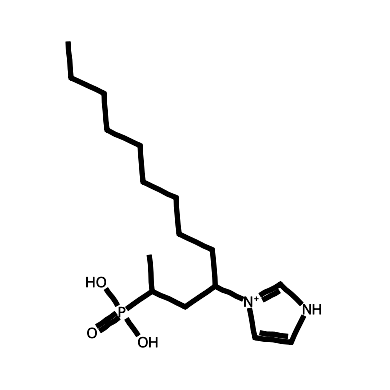 CCCCCCCCCC(CC(C)P(=O)(O)O)[n+]1cc[nH]c1